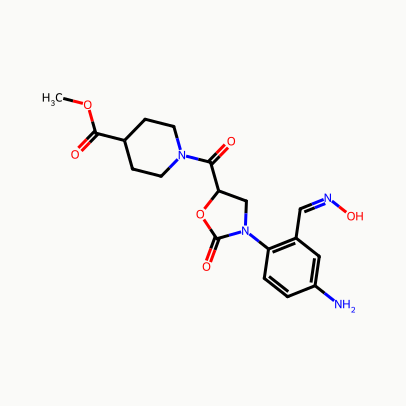 COC(=O)C1CCN(C(=O)C2CN(c3ccc(N)cc3/C=N\O)C(=O)O2)CC1